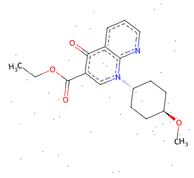 CCOC(=O)c1cn([C@H]2CC[C@H](OC)CC2)c2ncccc2c1=O